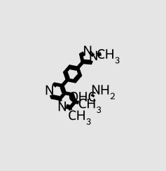 Cc1cc2c(-c3ccc(-c4cnn(C)c4)cc3)cncc2nc1C.NC=O